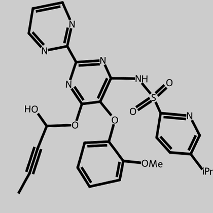 CC#CC(O)Oc1nc(-c2ncccn2)nc(NS(=O)(=O)c2ccc(C(C)C)cn2)c1Oc1ccccc1OC